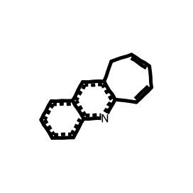 C1=CCc2cc3ccccc3nc2C=C1